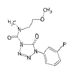 COCCN(C)C(=O)n1nnn(-c2cccc(F)c2)c1=O